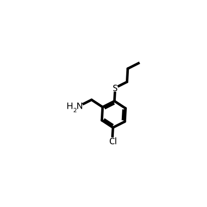 CCCSc1ccc(Cl)cc1CN